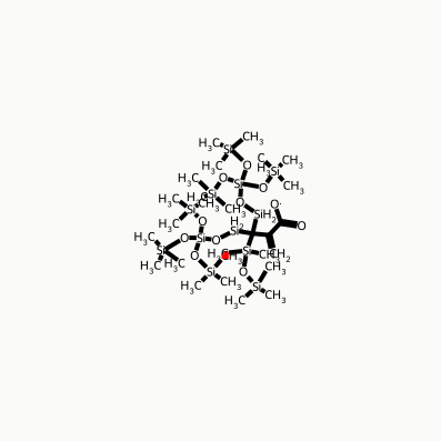 C=C(C([O])=O)C([SiH2]O[Si](O[Si](C)(C)C)(O[Si](C)(C)C)O[Si](C)(C)C)([SiH2]O[Si](O[Si](C)(C)C)(O[Si](C)(C)C)O[Si](C)(C)C)[Si](C)(C)O[Si](C)(C)C